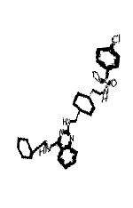 O=S(=O)(NC[C@H]1CC[C@H](CNc2nc(NCC3CCCCC3)c3ccccc3n2)CC1)c1ccc(Cl)cc1